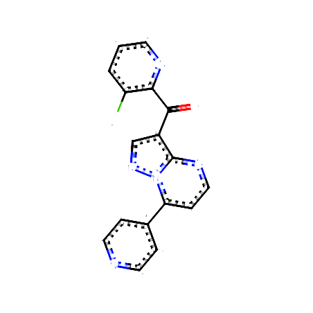 O=C(c1ncccc1F)c1cnn2c(-c3ccncc3)ccnc12